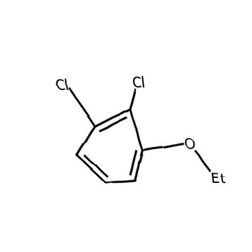 [CH2]COc1cccc(Cl)c1Cl